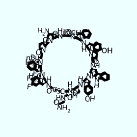 CCCC[C@H]1C(=O)N2CCC[C@@H]2C(=O)N2C[C@H](N)C[C@H]2C(=O)N[C@@H](C(C)C)C(=O)N(C)[C@@H](Cc2ccccc2)C(=O)N[C@@H](Cc2ccc(O)cc2)C(=O)N2CCC[C@@H]2C(=O)N[C@@H](Cc2c[nH]c3ccccc23)C(=O)N[C@@H](Cc2ccc(O)cc2)C(=O)N[C@@H](CC(C)C)C(=O)N[C@H](C(=O)NCC(N)=O)CSCC(=O)N[C@@H](Cc2cc(F)c(F)c(F)c2)C(=O)N(C)[C@@H](Cc2ccccc2)C(=O)N1C